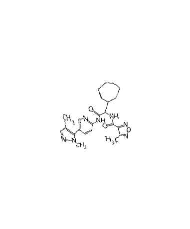 Cc1cnn(C)c1-c1ccc(NC(=O)C(NC(=O)c2nonc2C)C2CCCCCC2)nc1